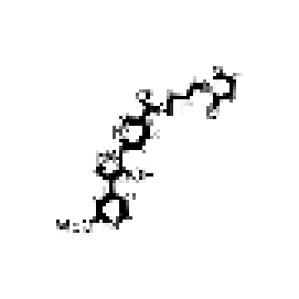 COc1cc(-c2cnn(-c3ccc(C(=O)NCCCN4CCCC4=O)cn3)c2O)ccn1